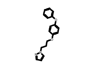 c1ccc(Oc2ccc(OCCCn3cccn3)cc2)cc1